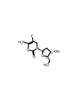 NC1=C(F)CN([C@H]2C[C@H](O)[C@@H](CO)O2)C(=O)O1